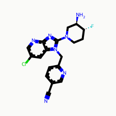 N#Cc1ccc(Cn2c(N3CC[C@@H](F)[C@H](N)C3)nc3ncc(Cl)cc32)nc1